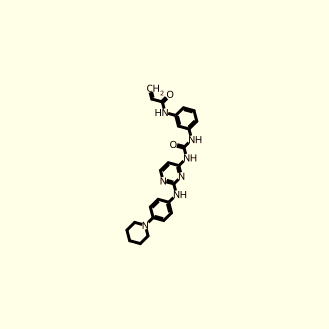 C=CC(=O)Nc1cccc(NC(=O)Nc2ccnc(Nc3ccc(N4CCCCC4)cc3)n2)c1